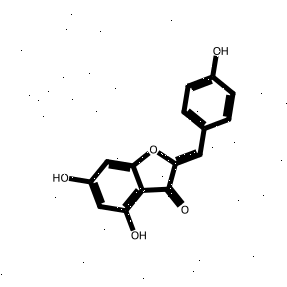 O=C1/C(=C/c2ccc(O)cc2)Oc2cc(O)cc(O)c21